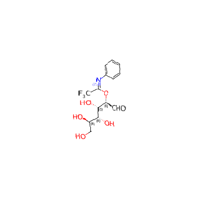 O=C[C@H](O/C(=N\c1ccccc1)C(F)(F)F)[C@@H](O)[C@H](O)[C@H](O)CO